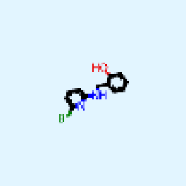 Oc1ccccc1CNc1cccc(Br)n1